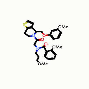 COCCCN(CC(=O)N1CCc2sccc2C1COc1cccc(OC)c1)C(=O)c1ccccc1OC